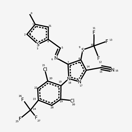 Cc1csc(C=Nc2c(SC(F)(F)F)c(C#N)nn2-c2c(Cl)cc(C(F)(F)F)cc2Cl)c1